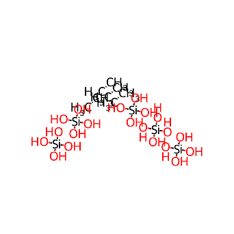 CC.CC.CC.CC.O[Si](O)(O)O.O[Si](O)(O)O.O[Si](O)(O)O.O[Si](O)(O)O.O[Si](O)(O)O